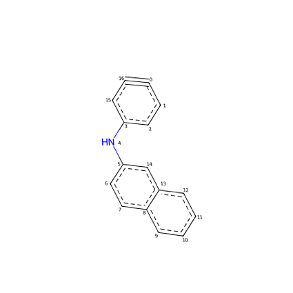 c1ccc(Nc2ccc3ccccc3c2)cc#1